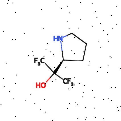 OC([C@@H]1CCCN1)(C(F)(F)F)C(F)(F)F